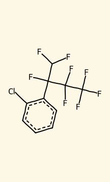 FC(F)C(F)(c1ccccc1Cl)C(F)(F)C(F)(F)F